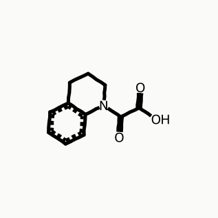 O=C(O)C(=O)N1CCCc2ccccc21